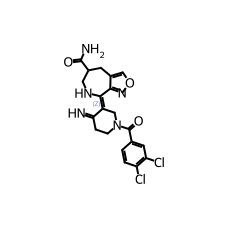 N=C1CCN(C(=O)c2ccc(Cl)c(Cl)c2)C/C1=C1/NCC(C(N)=O)Cc2conc21